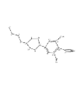 CCCCC1CCC(c2cc(F)c(C#N)c(F)c2)CC1